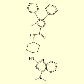 Cc1c(C(=O)N[C@H]2CC[C@@H](Nc3nc(N(C)C)c4ccccc4n3)CC2)cc(-c2ccccc2)n1-c1ccccc1